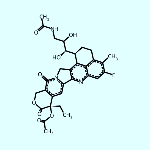 CC[C@@]1(OC(C)=O)C(=O)OCc2c1cc1n(c2=O)Cc2c-1nc1cc(F)c(C)c3c1c2[C@@H]([C@@H](O)C(O)CNC(C)=O)CC3